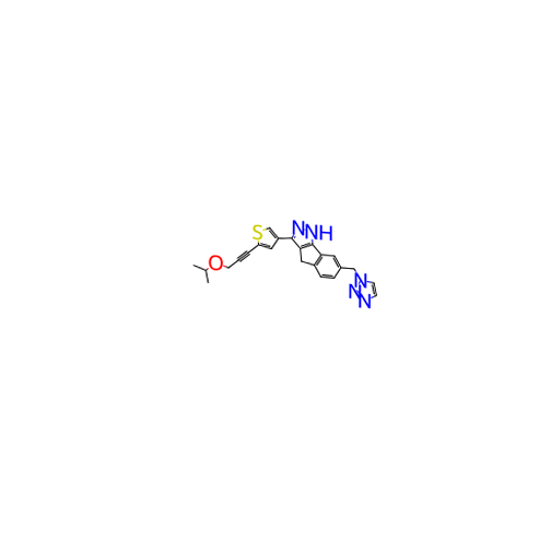 CC(C)OCC#Cc1cc(-c2n[nH]c3c2Cc2ccc(Cn4ccnn4)cc2-3)cs1